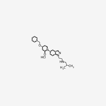 CC(C)CNCCn1ncc2cc(-n3ccc(OCc4ccccc4)cc3=O)ccc21.Cl